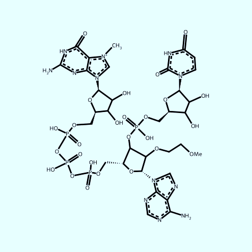 COCCOC1C(OP(=O)(O)OC[C@H]2O[C@@H](n3ccc(=O)[nH]c3=O)C(O)C2O)[C@@H](COP(=O)(O)OP(=O)(O)OP(=O)(O)OC[C@H]2O[C@@H](n3c[n+](C)c4c(=O)[nH]c(N)nc43)C(O)C2O)O[C@H]1n1cnc2c(N)ncnc21